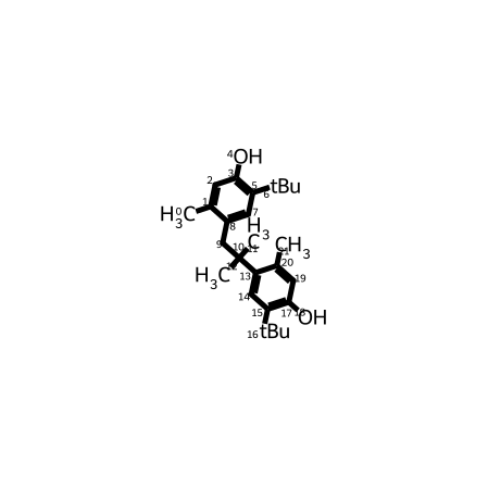 Cc1cc(O)c(C(C)(C)C)cc1CC(C)(C)c1cc(C(C)(C)C)c(O)cc1C